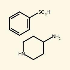 NC1CCNCC1.O=S(=O)(O)c1ccccc1